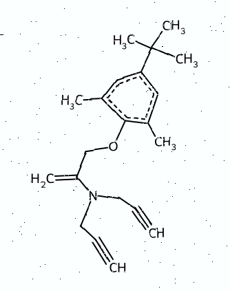 C#CCN(CC#C)C(=C)COc1c(C)cc(C(C)(C)C)cc1C